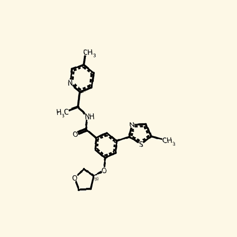 Cc1ccc(C(C)NC(=O)c2cc(O[C@H]3CCOC3)cc(-c3ncc(C)s3)c2)nc1